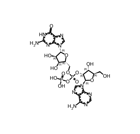 Nc1nc2c(ncn2[C@@H]2O[C@H](COP(=O)(O[C@@H]3[C@H](O)[C@@H](CO)O[C@H]3n3cnc4c(N)ncnc43)OP(=O)(O)O)[C@@H](O)[C@H]2O)c(=O)[nH]1